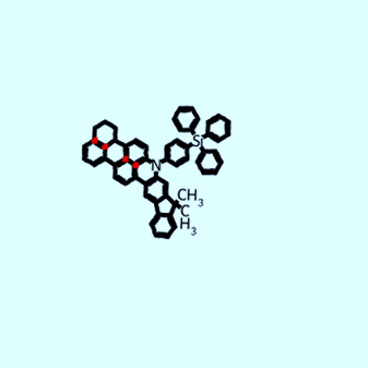 CC1(C)c2ccccc2-c2cc(-c3ccc(-c4ccccc4)cc3)c(N(c3ccc(C4CCCCC4)cc3)c3ccc([Si](c4ccccc4)(c4ccccc4)c4ccccc4)cc3)cc21